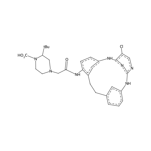 CC(C)(C)C1CN(CC(=O)Nc2ccc3cc2CCc2cccc(c2)Nc2ncc(Cl)c(n2)N3)CCN1C(=O)O